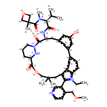 CCn1c(-c2cnccc2COC)c2c3cc(ccc31)-c1cc(O)cc(c1)C[C@H](NC(=O)[C@H](C(C)C)N(C)C(=O)C1(C)COC1)C(=O)N1CCC[C@](C=O)(COCC(C)(C)C2)N1